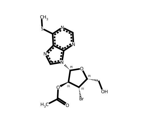 CSc1ncnc2c1ncn2[C@@H]1O[C@H](CO)[C@H](Br)[C@H]1OC(C)=O